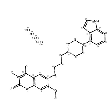 COc1cc2oc(=O)c(C)c(C)c2cc1OCCCN1CCN(c2cccc3[nH]ccc23)CC1.Cl.Cl.O.O